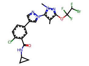 Cc1c(OC(F)(F)C(F)Br)nn(C)c1-n1cc(-c2ccc(Cl)c(C(=O)NC3CC3)c2)cn1